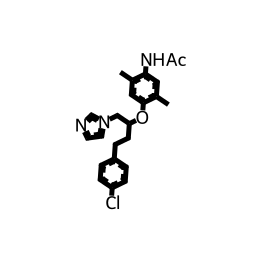 CC(=O)Nc1cc(C)c(OC(CCc2ccc(Cl)cc2)Cn2ccnc2)cc1C